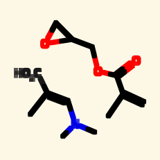 C=C(C)C(=O)OCC1CO1.CC(=CN(C)C)C(=O)O